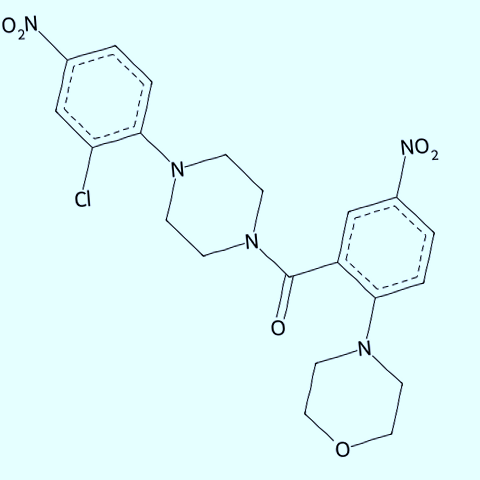 O=C(c1cc([N+](=O)[O-])ccc1N1CCOCC1)N1CCN(c2ccc([N+](=O)[O-])cc2Cl)CC1